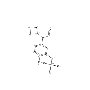 O=[C]C(c1ccc(F)c(OC(F)(F)F)c1)N1CCC1